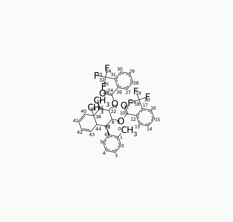 Cc1ccccc1[C@@H]1C(OC(=O)c2ccccc2C(F)(F)F)C(OC(=O)c2ccccc2C(F)(F)F)C(C)C2(C)C=CC=CC12